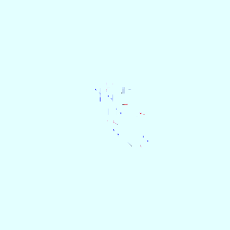 CC(C)C(NC(=O)NCSCl)C(=O)N[C@H]1C[S+]([O-])CCNC(=O)/C=C/[C@H](C)NC1=O